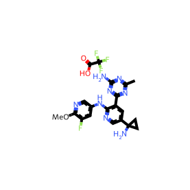 COc1ncc(Nc2ncc(C3(N)CC3)cc2-c2nc(C)nc(N)n2)cc1F.O=C(O)C(F)(F)F